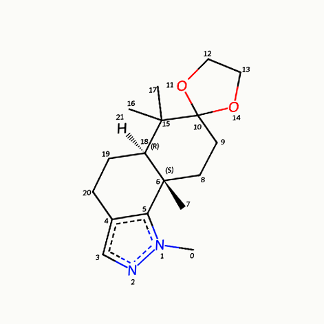 Cn1ncc2c1[C@@]1(C)CCC3(OCCO3)C(C)(C)[C@@H]1CC2